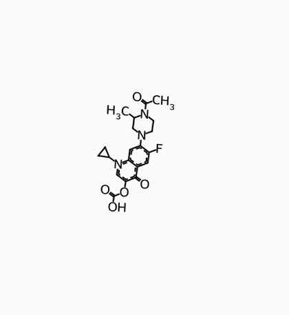 CC(=O)N1CCN(c2cc3c(cc2F)c(=O)c(OC(=O)O)cn3C2CC2)CC1C